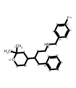 CC1(C)CC(C(CCNCc2ccc(F)cc2)Cc2ccccc2)CCO1